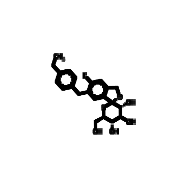 CCc1ccc(Cc2cc3c(cc2F)CO[C@]32S[C@H](CO)[C@@H](O)C(O)[C@H]2O)cc1